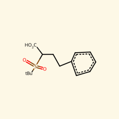 CC(C)(C)S(=O)(=O)C(CCc1ccccc1)C(=O)O